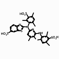 Cc1cc(N(c2nc3ccc(S(=O)(=O)O)cc3s2)c2c(C)cc(C)c(S(=O)(=O)O)c2C)nc(Nc2c(C)cc(C)c(S(=O)(=O)O)c2C)c1C